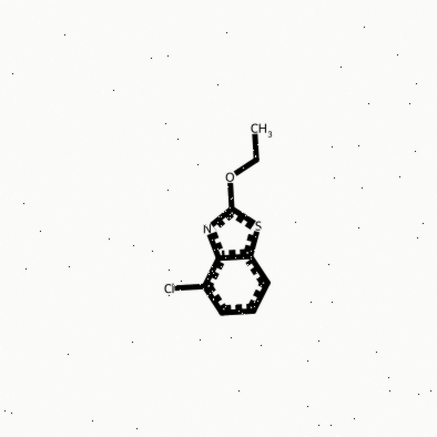 CCOc1nc2c(Cl)cccc2s1